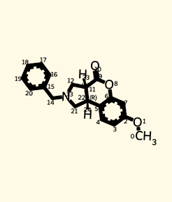 COc1ccc2c(c1)OC(=O)[C@H]1CN(Cc3ccccc3)C[C@@H]21